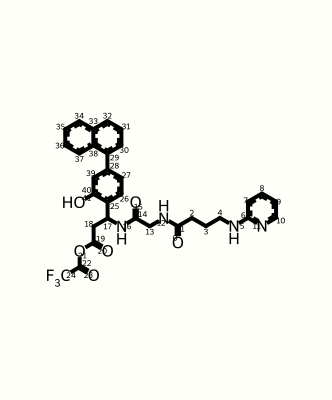 O=C(CCCNc1ccccn1)NCC(=O)NC(CC(=O)OC(=O)C(F)(F)F)c1ccc(-c2cccc3ccccc23)cc1O